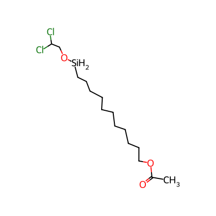 CC(=O)OCCCCCCCCCCC[SiH2]OCC(Cl)Cl